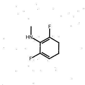 CNC1=C(F)CCC=C1F